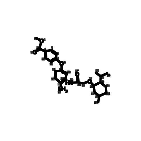 COC(=O)c1ccc(Oc2ccc(N)c(NC(=O)COC3CC(C)CCC3C(C)C)c2)cc1